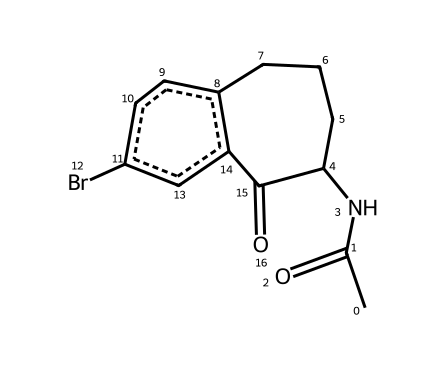 CC(=O)NC1CCCc2ccc(Br)cc2C1=O